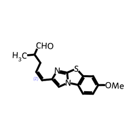 COc1ccc2c(c1)sc1nc(/C=C\CC(C)C=O)cn12